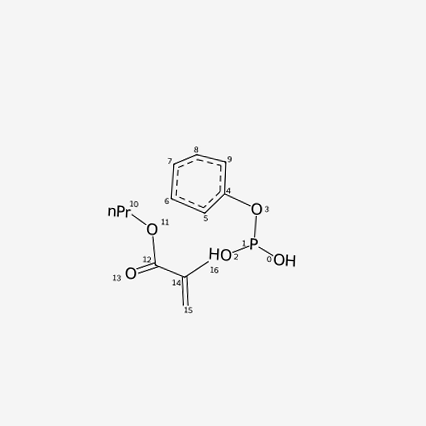 OP(O)Oc1ccccc1.[CH2]CCOC(=O)C(=C)C